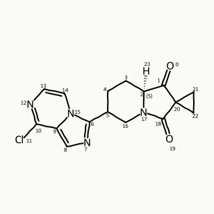 O=C1[C@@H]2CCC(c3ncc4c(Cl)nccn34)CN2C(=O)C12CC2